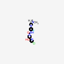 CN(C)C1CCN(c2ccc(NC(=O)N3CCC(O)(c4ccc(Cl)cn4)CC3)c(F)c2)C1